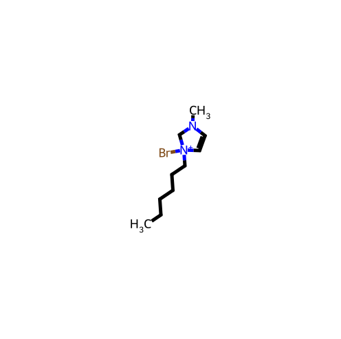 CCCCCC[N+]1(Br)C=CN(C)C1